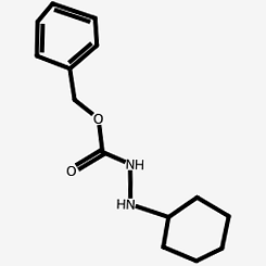 O=C(NNC1CCCCC1)OCc1ccccc1